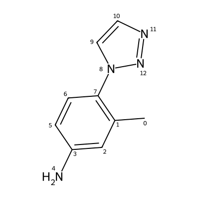 Cc1cc(N)ccc1-n1ccnn1